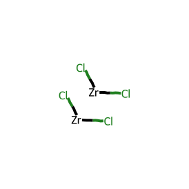 [Cl][Zr][Cl].[Cl][Zr][Cl]